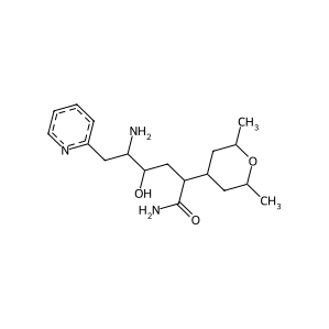 CC1CC(C(CC(O)C(N)Cc2ccccn2)C(N)=O)CC(C)O1